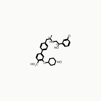 C[C@H](Cc1ccc(-c2ccc(C(=O)O)c(OC3CCCCC3)c2)cc1)NC[C@H](O)c1cccc(Cl)c1.Cl